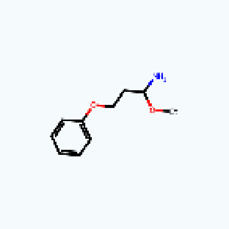 CCOC(N)CCOc1ccccc1